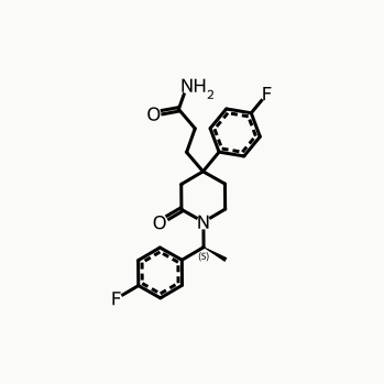 C[C@@H](c1ccc(F)cc1)N1CCC(CCC(N)=O)(c2ccc(F)cc2)CC1=O